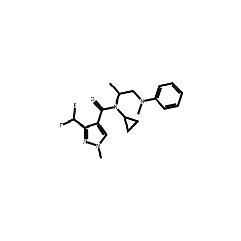 CC(CN(C)c1ccccc1)N(C(=O)c1cn(C)nc1C(F)F)C1CC1